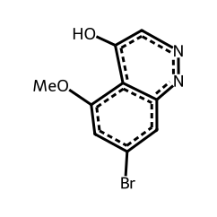 COc1cc(Br)cc2nncc(O)c12